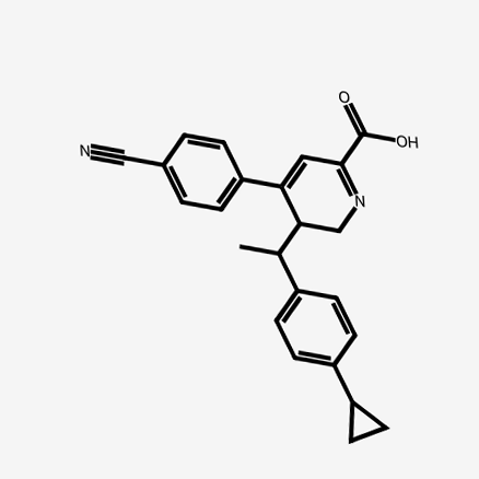 CC(c1ccc(C2CC2)cc1)C1CN=C(C(=O)O)C=C1c1ccc(C#N)cc1